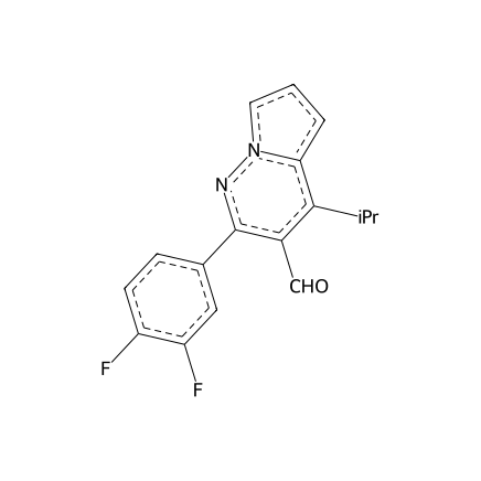 CC(C)c1c(C=O)c(-c2ccc(F)c(F)c2)nn2cccc12